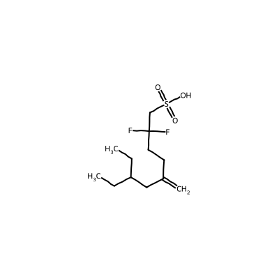 C=C(CCC(F)(F)CS(=O)(=O)O)CC(CC)CC